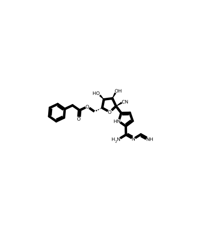 N#C[C@@]1(c2ccc(/C(N)=N\C=N)[nH]2)O[C@H](COC(=O)Cc2ccccc2)[C@@H](O)[C@H]1O